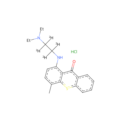 Cl.[2H]C([2H])(Nc1ccc(C)c2sc3ccccc3c(=O)c12)C([2H])([2H])N(CC)CC